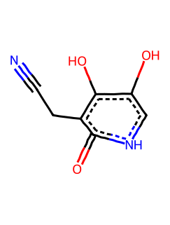 N#CCc1c(O)c(O)c[nH]c1=O